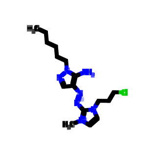 CCCCCCn1ncc(/N=N/c2n(CCCCl)cc[n+]2C)c1N